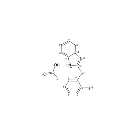 CC(=O)O.Sc1ccccc1Sc1nc2ccccc2[nH]1